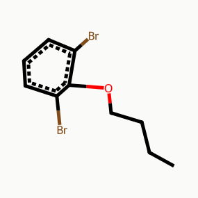 CCCCOc1c(Br)cccc1Br